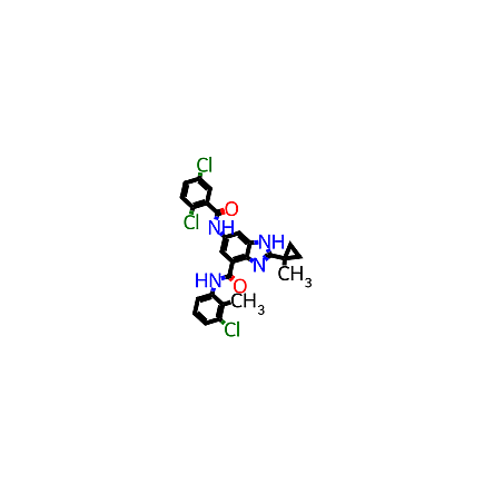 Cc1c(Cl)cccc1NC(=O)c1cc(NC(=O)c2cc(Cl)ccc2Cl)cc2[nH]c(C3(C)CC3)nc12